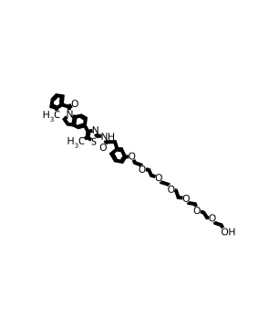 Cc1ccccc1C(=O)N1CCc2cc(-c3nc(NC(=O)Cc4cccc(OCCOCCOCCOCCOCCOCCOCCO)c4)sc3C)ccc21